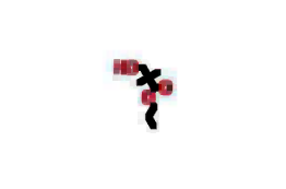 CCCOC(=O)C(C)(C)CO